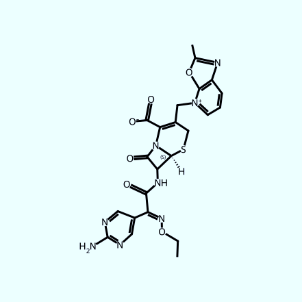 CCON=C(C(=O)NC1C(=O)N2C(C(=O)[O-])=C(C[n+]3cccc4nc(C)oc43)CS[C@@H]12)c1cnc(N)nc1